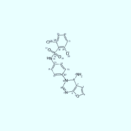 NC1c2ccoc2N=CN1c1ccc(NS(=O)(=O)c2c(Cl)cccc2Cl)cc1